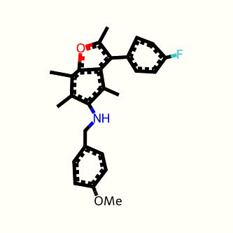 COc1ccc(CNc2c(C)c(C)c3oc(C)c(-c4ccc(F)cc4)c3c2C)cc1